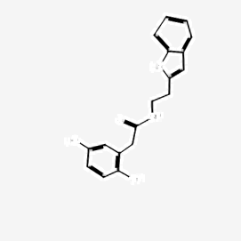 O=C(Cc1cc(O)ccc1O)NCCc1cc2ccccc2[nH]1